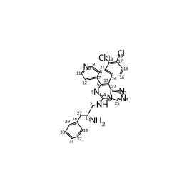 N[C@@H](CNc1nc(-c2ccncc2)c(-c2ccc(Cl)c(Cl)c2)c2nncn12)Cc1ccccc1